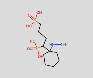 [NH]NC1(C(CCCP(=O)(O)O)P(=O)(O)O)CCCCC1